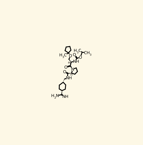 CC(C)OC(=O)N[C@H](COC1(C)CCCC1)C(=O)N1CCC[C@H]1C(=O)NC[C@H]1CC[C@H](C(=N)N)CC1